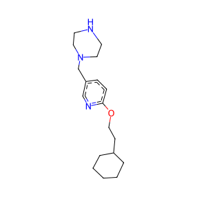 c1cc(OCCC2CCCCC2)ncc1CN1CCNCC1